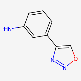 [NH]c1cccc(-c2conn2)c1